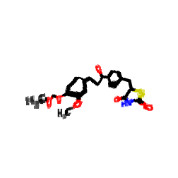 COCOc1ccc(/C=C/C(=O)c2ccc(CC3SC(=O)NC3=O)cc2)cc1OC